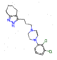 Clc1cccc(N2CCN(CCCc3[nH]nc4c3CCCC4)CC2)c1Cl